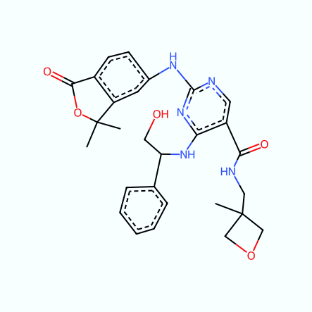 CC1(CNC(=O)c2cnc(Nc3ccc4c(c3)C(C)(C)OC4=O)nc2NC(CO)c2ccccc2)COC1